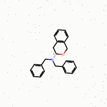 [c]1cccc2c1C[C@@H](N(Cc1ccccc1)Cc1ccccc1)OC2